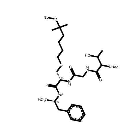 CCOC(C)(C)CCCCSC[C@H](NC(=O)CNC(=O)C(NC(C)=O)C(C)O)C(=O)N[C@@H](Cc1ccccc1)C(=O)O